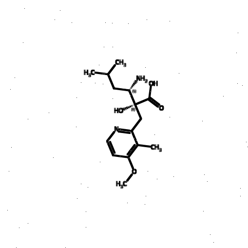 COc1ccnc(C[C@](O)(C(=O)O)[C@@H](N)CC(C)C)c1C